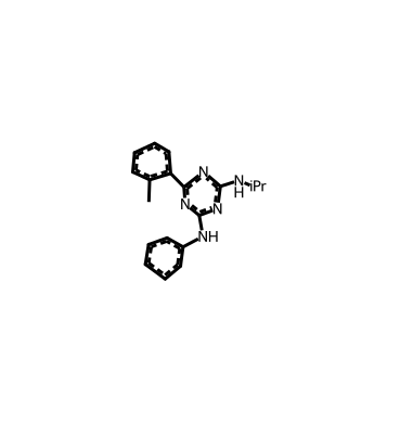 Cc1ccccc1-c1nc(Nc2ccccc2)nc(NC(C)C)n1